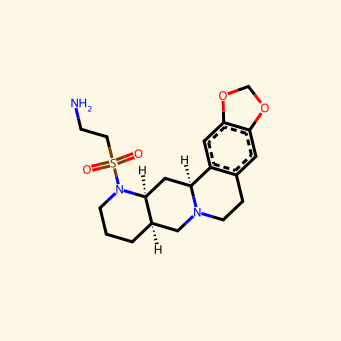 NCCS(=O)(=O)N1CCC[C@@H]2CN3CCc4cc5c(cc4[C@@H]3C[C@@H]21)OCO5